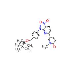 Cn1cc(-c2ccc([N+](=O)[O-])c(Nc3ccc(CO[Si](C)(C)C(C)(C)C)cc3)n2)ccc1=O